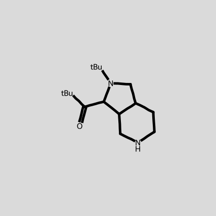 CC(C)(C)C(=O)C1C2CNCCC2CN1C(C)(C)C